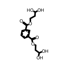 O=C(OCCC(O)O)c1cccc(C(=O)OCCC(O)O)c1